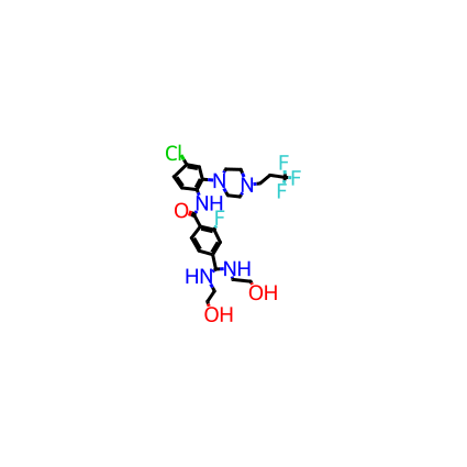 O=C(Nc1ccc(Cl)cc1N1CCN(CCC(F)(F)F)CC1)c1ccc(C(NCCO)NCCO)cc1F